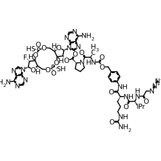 CC(C)[C@H](NC(=O)CN=[N+]=[N-])C(=O)N[C@@H](CCCNC(N)=O)C(=O)Nc1ccc(COC(=O)N[C@H](C)C(=O)N2CCC[C@H]2C(=O)O[C@@H]2[C@@H]3O[P@](=O)(S)OC[C@H]4O[C@@H](n5cnc6c(N)ncnc65)[C@H](F)[C@@H]4O[P@](=O)(S)OC[C@H]3O[C@H]2n2cnc3c(N)ncnc32)cc1